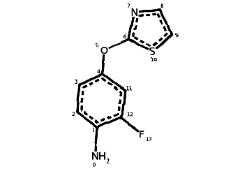 Nc1ccc(Oc2nccs2)cc1F